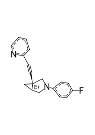 Fc1ccc(N2CC3C[C@]3(C#Cc3ccccn3)C2)cc1